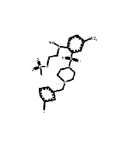 CCCN(CCOS(C)(=O)=O)c1ccc([N+](=O)[O-])cc1S(=O)(=O)N1CCN(Cc2cccc(Cl)c2)CC1